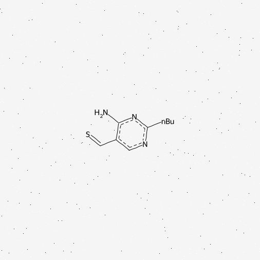 CCCCc1ncc(C=S)c(N)n1